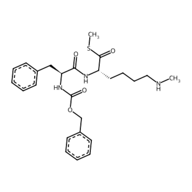 CNCCCC[C@H](NC(=O)[C@H](Cc1ccccc1)NC(=O)OCc1ccccc1)C(=O)SC